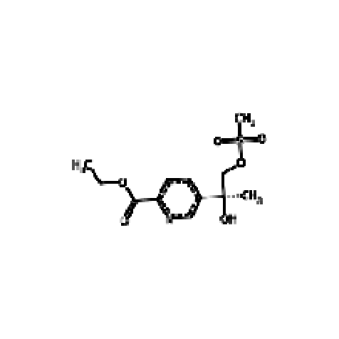 CCOC(=O)c1ccc([C@](C)(O)COS(C)(=O)=O)cn1